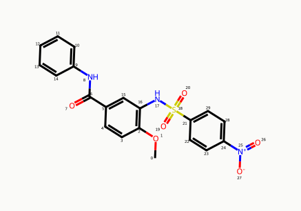 COc1ccc(C(=O)Nc2ccccc2)cc1NS(=O)(=O)c1ccc([N+](=O)[O-])cc1